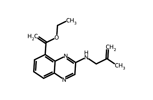 C=C(C)CNc1cnc2cccc(C(=C)OCC)c2n1